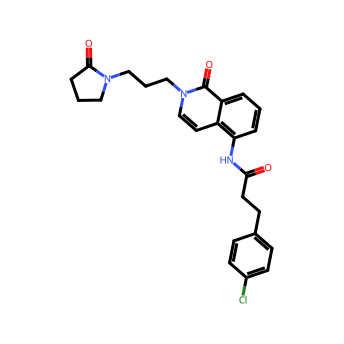 O=C(CCc1ccc(Cl)cc1)Nc1cccc2c(=O)n(CCCN3CCCC3=O)ccc12